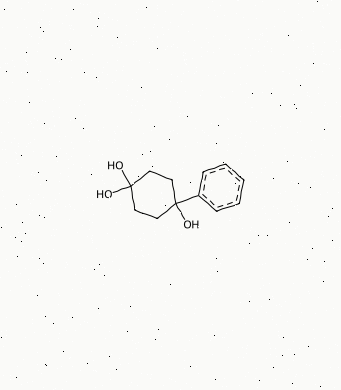 OC1(O)CCC(O)(c2ccccc2)CC1